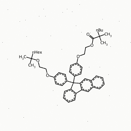 CCCCCCC(C)(C)OCCOc1ccc(C2(c3ccc(OCCOC(=O)C(C)(C)CCCC)cc3)c3ccccc3-c3cc4ccccc4cc32)cc1